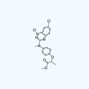 COC(=O)C(C)Oc1ccc(N(C)c2nc3ccc(Cl)cc3[n+]([O-])n2)cc1